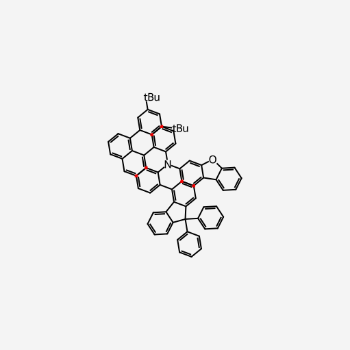 CC(C)(C)c1cc(-c2cccc3cccc(-c4ccccc4N(c4ccc5c(c4)oc4ccccc45)c4ccccc4-c4cccc5c4-c4ccccc4C5(c4ccccc4)c4ccccc4)c23)cc(C(C)(C)C)c1